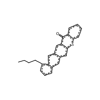 CCCCc1cccc2cc3cc4sc5ccccc5c(=O)c4cc3cc12